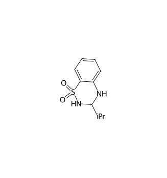 CC(C)C1Nc2ccccc2S(=O)(=O)N1